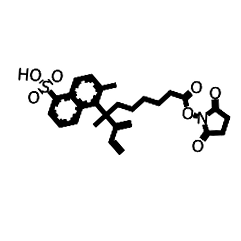 C=CC(=C)C(C)(CCCCCC(=O)ON1C(=O)CCC1=O)c1c(C)ccc2c(S(=O)(=O)O)cccc12